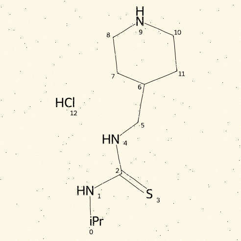 CC(C)NC(=S)NCC1CCNCC1.Cl